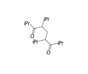 CC(C)C(=O)C(CC(C(=O)C(C)C)C(C)C)C(C)C